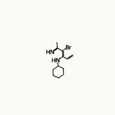 C=C/C(NC1CCCCC1)=C(\Br)C(C)=N